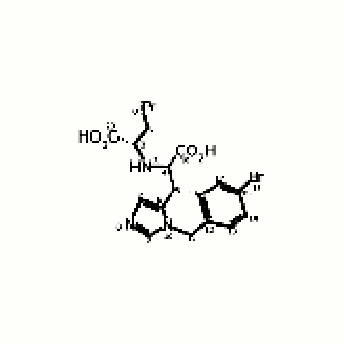 CC(C)C[C@H](NC(Cc1cncn1Cc1ccc(Br)cc1)C(=O)O)C(=O)O